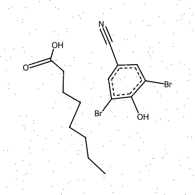 CCCCCCCC(=O)O.N#Cc1cc(Br)c(O)c(Br)c1